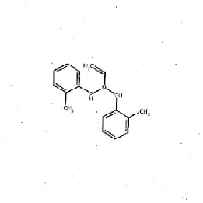 C=[CH][Ni]([PH]c1ccccc1C)[PH]c1ccccc1C